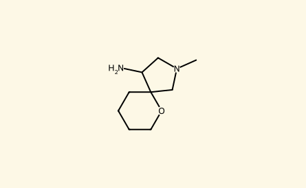 CN1CC(N)C2(CCCCO2)C1